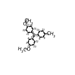 COc1ccc(B(c2ccc(C)cc2)c2ccc(OC)cc2)cc1